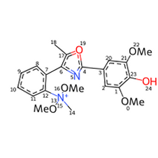 COc1cc(-c2nc(-c3ccccc3[N+](C)(OC)OC)c(C)o2)cc(OC)c1O